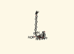 CCCO[C@H](C[C@H](C(C)C)N(CCC)C(=O)[C@@H](NC(=O)[C@H]1CCCCN1C)[C@@H](C)CC)c1nc(C(=O)NC(Cc2ccc(O)cc2)C[C@H](C)C(=O)NCCOCCOCCOCCOCCOCCOCCN=[N+]=[N-])cs1